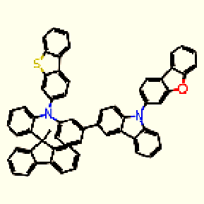 CC1(c2ccccc2N(c2cccc(-c3ccc4c(c3)c3ccccc3n4-c3ccc4c(c3)oc3ccccc34)c2)c2ccc3c(c2)sc2ccccc23)c2ccccc2-c2ccccc21